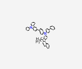 CC1(C)c2cc(N(c3ccc(-c4ccccc4)cc3)c3ccc(-c4ccc5c(c4)c4ccccc4n5-c4ccccc4)cc3)ccc2-c2c1ccc1ccccc21